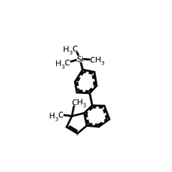 CC1(C)C=[C]c2cccc(-c3ccc([Si](C)(C)C)cc3)c21